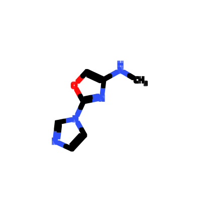 CNc1coc(-n2ccnc2)n1